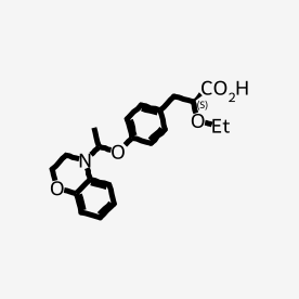 CCO[C@@H](Cc1ccc(OC(C)N2CCOc3ccccc32)cc1)C(=O)O